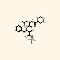 CC(C)C[C@H](NC(=O)C1CCOCC1)C(=O)NC(Cc1ccccc1)C(=O)C(=O)NC(C)(C)C